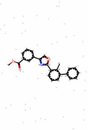 COC(=O)c1cccc(-c2coc(-c3cccc(-c4ccccc4)c3C)n2)c1